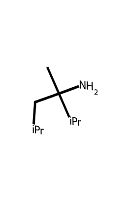 CC(C)CC(C)(N)C(C)C